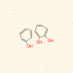 Oc1ccccc1.Oc1ccccc1O